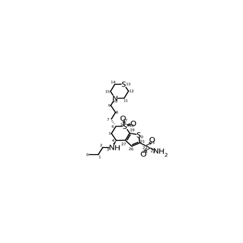 CCCN[C@H]1C[C@H](CCCN2CCSCC2)S(=O)(=O)c2sc(S(N)(=O)=O)cc21